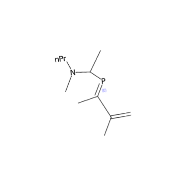 C=C(C)/C(C)=P/C(C)N(C)CCC